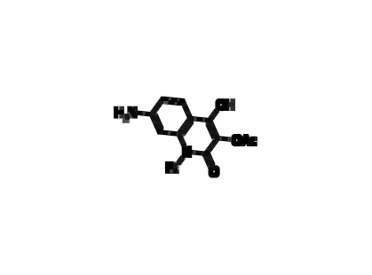 CCn1c(=O)c(OC(C)=O)c(O)c2ccc(N)cc21